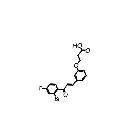 O=C(O)CCOc1cccc(C=CC(=O)c2ccc(F)cc2Br)c1